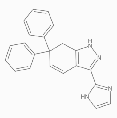 C1=CC(c2ccccc2)(c2ccccc2)Cc2[nH]nc(-c3ncc[nH]3)c21